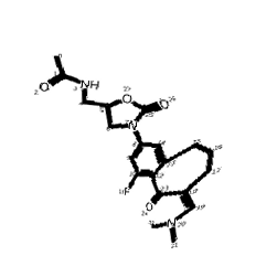 CC(=O)NCC1CN(c2cc(F)c3c(c2)CCCC(=CN(C)C)C3=O)C(=O)O1